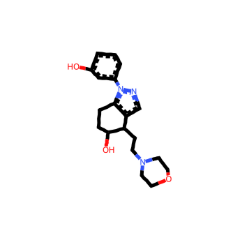 Oc1cccc(-n2ncc3c2CCC(O)C3CCN2CCOCC2)c1